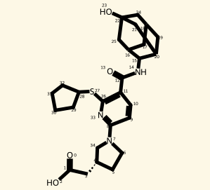 O=C(O)C[C@H]1CCN(c2ccc(C(=O)NC3C4CC5CC3CC(O)(C5)C4)c(SC3CCCC3)n2)C1